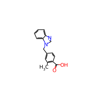 Cc1cc(Cn2cnc3ccccc32)ccc1C(=O)O